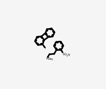 CCCCCCCCCCCCc1ccccc1S(=O)(=O)O.Ic1cccc2c1-c1ccccc1-2